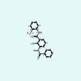 CN(C(=O)c1ccccc1)c1cccc(C(=O)Nc2ccccc2C(F)(F)F)c1F